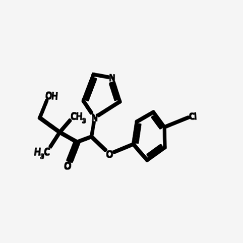 CC(C)(CO)C(=O)C(Oc1ccc(Cl)cc1)n1ccnc1